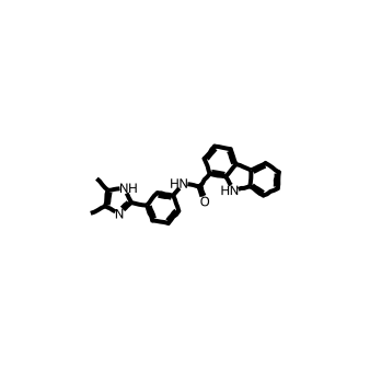 Cc1nc(-c2cccc(NC(=O)c3cccc4c3[nH]c3ccccc34)c2)[nH]c1C